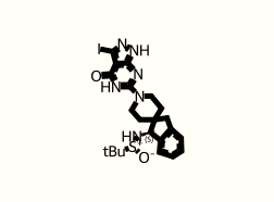 CC(C)(C)[S+]([O-])N[C@@H]1c2ccccc2CC12CCN(c1nc3[nH]nc(I)c3c(=O)[nH]1)CC2